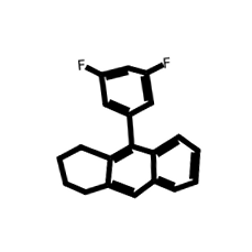 Fc1cc(F)cc(-c2c3c(cc4ccccc24)CCCC3)c1